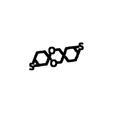 C1CC2(COC3(CCC4SC4C3)OC2)CC2SC12